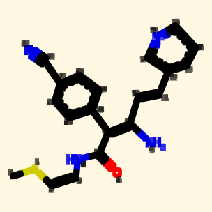 CS/C=C\NC(=O)/C(=C(N)/C=C/c1cccnc1)c1ccc(C#N)cc1